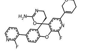 NC1=NCC[C@]2(O1)c1cc(-c3cccnc3F)ccc1Oc1c2cc(C2=CCCOC2)nc1F